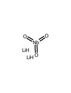 [LiH].[LiH].[O]=[Nb](=[O])=[O]